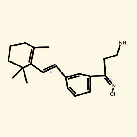 CC1=C(/C=C/c2cccc(/C(CCN)=N\O)c2)C(C)(C)CCC1